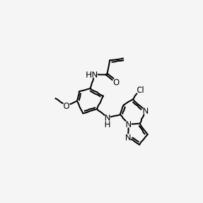 C=CC(=O)Nc1cc(Nc2cc(Cl)nc3ccnn23)cc(OC)c1